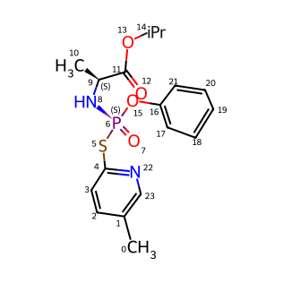 Cc1ccc(S[P@](=O)(N[C@@H](C)C(=O)OC(C)C)Oc2ccccc2)nc1